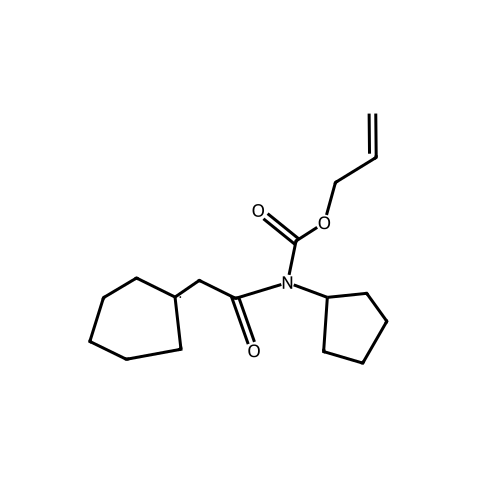 C=CCOC(=O)N(C(=O)C[C]1CCCCC1)C1CCCC1